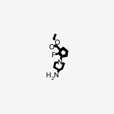 CCOC(=O)c1cccc(N2CCC(N)CC2)c1F